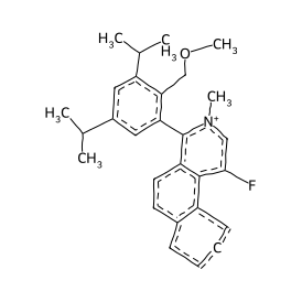 COCc1c(-c2c3ccc4ccccc4c3c(F)c[n+]2C)cc(C(C)C)cc1C(C)C